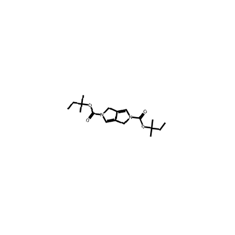 CCC(C)(C)OC(=O)N1C=C2CN(C(=O)OC(C)(C)CC)C=C2C1